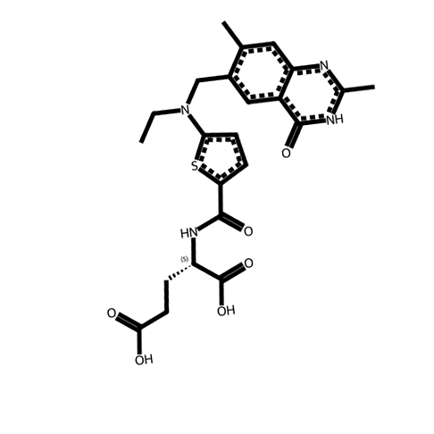 CCN(Cc1cc2c(=O)[nH]c(C)nc2cc1C)c1ccc(C(=O)N[C@@H](CCC(=O)O)C(=O)O)s1